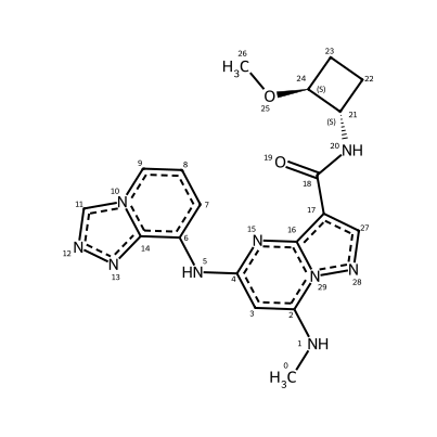 CNc1cc(Nc2cccn3cnnc23)nc2c(C(=O)N[C@H]3CC[C@@H]3OC)cnn12